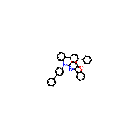 c1ccc(-c2ccc(-c3ccccc3N(c3ccc(-c4ccccc4)cc3)c3ccc4oc5ccccc5c4n3)cc2)cc1